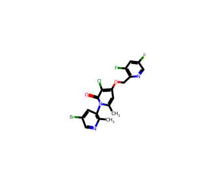 Cc1ncc(Br)cc1-n1c(C)cc(OCc2ncc(F)cc2F)c(Cl)c1=O